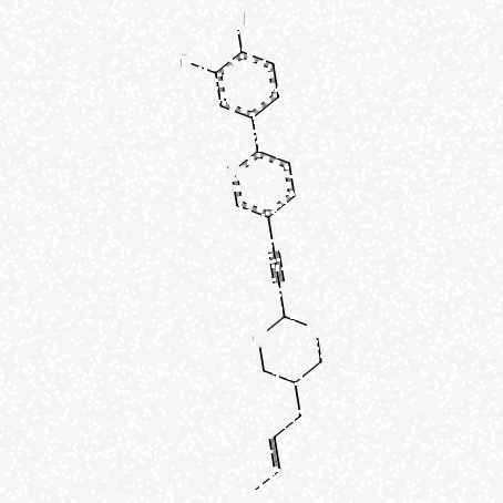 C/C=C/CC1COC(C#Cc2ccc(-c3ccc(Cl)c(F)c3)nc2)OC1